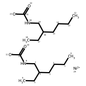 CCCCC(CC)CNC(=O)[O-].CCCCC(CC)CNC(=O)[O-].[Ni+2]